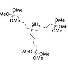 CO[Si](CCCCC([SiH3])(CCCC[Si](OC)(OC)OC)CCCC[Si](OC)(OC)OC)(OC)OC